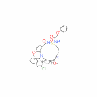 CO[C@H]1/C=C/CCCS(=O)(NC(=O)COc2ccccc2)=NC(=O)c2ccc3c(c2)N(C[C@@H]2CC[C@H]21)C[C@@]1(CCCc2cc(Cl)ccc21)CO3